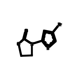 O=C1OCCN1c1cc(Br)cs1